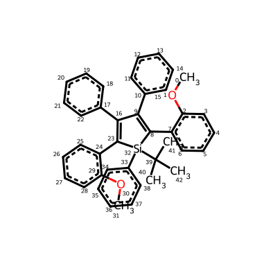 COc1ccccc1C1=C(c2ccccc2)C(c2ccccc2)=C(c2ccccc2OC)[Si]1(c1ccccc1)C(C)(C)C